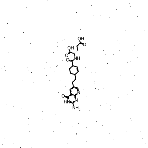 Nc1nc2ncc(CCC3C=CC(C(=O)N[C@@H](CCC(=O)O)C(=O)O)CC3)cc2c(=O)[nH]1